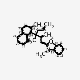 C=CCC(C)(C(=C)/C=C1\Oc2ccccc2N1C)c1c(C)ccc2ccccc12